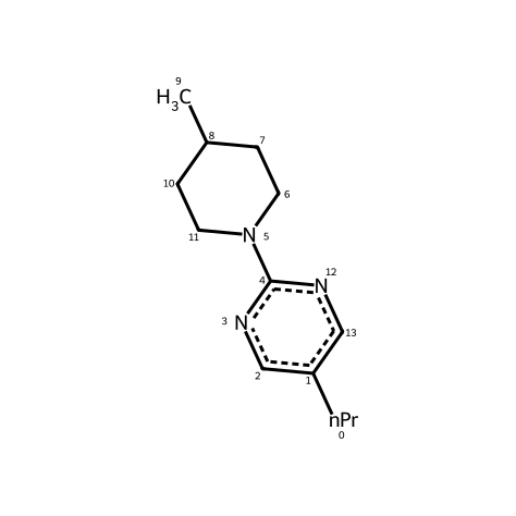 CCCc1cnc(N2CCC(C)CC2)nc1